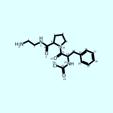 NCCNC(=O)C1CCCN1C(=O)C(Cc1ccccc1)NC(=O)Cl